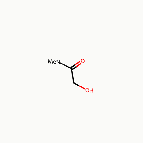 CNC(=O)[CH]O